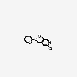 Clc1cc(COC2CCCCO2)c(Br)cn1